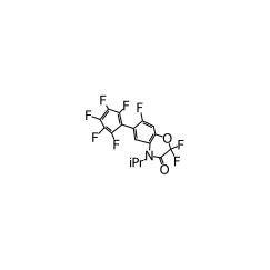 CC(C)N1C(=O)C(F)(F)Oc2cc(F)c(-c3c(F)c(F)c(F)c(F)c3F)cc21